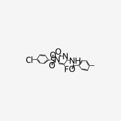 Cc1ccc(C(=O)Nc2nc(=O)n(S(=O)(=O)c3ccc(Cl)cc3)cc2F)cc1